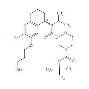 CC(C)N(C(=O)[C@H]1CN(C(=O)OC(C)(C)C)CCO1)[C@@H]1CCCc2cc(Br)c(OCCCO)cc21